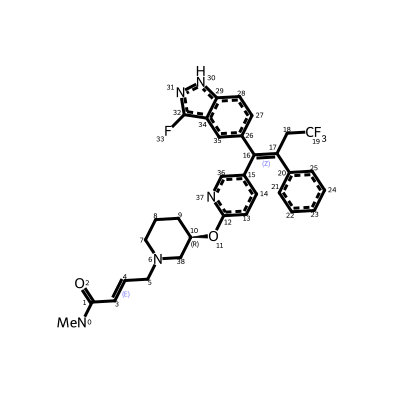 CNC(=O)/C=C/CN1CCC[C@@H](Oc2ccc(/C(=C(/CC(F)(F)F)c3ccccc3)c3ccc4[nH]nc(F)c4c3)cn2)C1